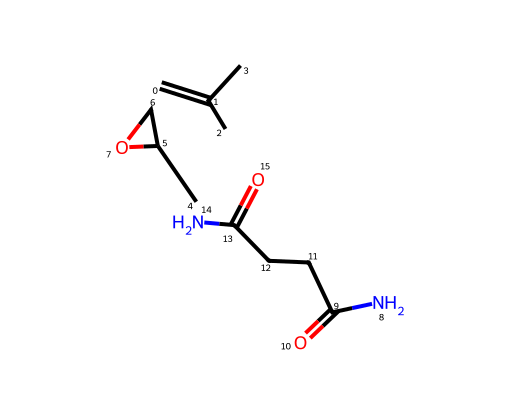 C=C(C)C.CC1CO1.NC(=O)CCC(N)=O